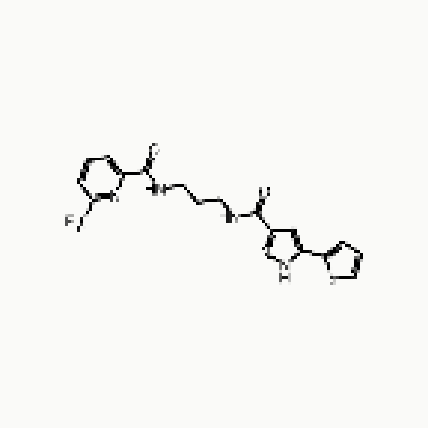 O=C(NCCCNC(=O)c1cccc(C(F)(F)F)n1)c1cc(-c2cccs2)[nH]n1